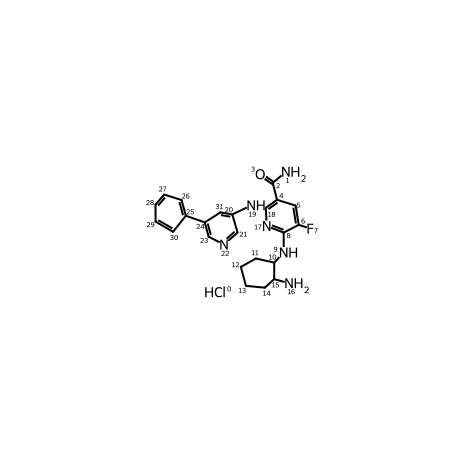 Cl.NC(=O)c1cc(F)c(NC2CCCCC2N)nc1Nc1cncc(-c2ccccc2)c1